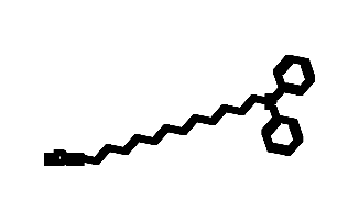 CCCCCCCCCCCCCCCCCCCCCCP(c1ccccc1)c1ccccc1